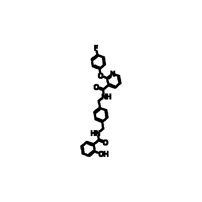 O=C(NCc1ccc(CNC(=O)c2cccnc2Oc2ccc(F)cc2)cc1)c1ccccc1O